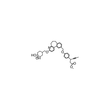 CC#CC(CC(=O)OC)c1ccc(OCc2ccc3c(c2)-c2ccc(OCC4CCS(O)(O)CC4)nc2CCC3)cc1